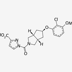 COc1cccc(O[C@H]2C[C@@H]3CN(C(=O)n4ccc(C(=O)O)n4)C[C@@H]3C2)c1Cl